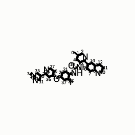 Cc1cnc(-c2ccc3ncccc3c2)c(NC(=O)Nc2ccc(Oc3ccnc(-c4cnn(C)c4)c3)cc2F)c1